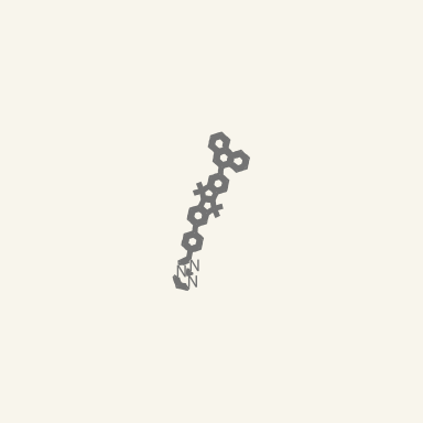 CC1(C)C2=C(c3ccc(-c4ccc(-c5cn6cccnc6n5)cc4)cc31)C(C)(C)c1cc(-c3cc4ccccc4c4ccccc34)ccc12